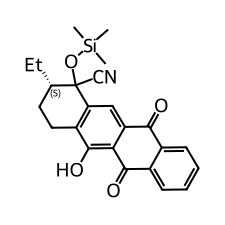 CC[C@H]1CCc2c(cc3c(c2O)C(=O)c2ccccc2C3=O)C1(C#N)O[Si](C)(C)C